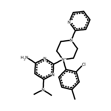 Cc1ccc([N+]2(c3nc(N)cc(N(C)C)n3)CCN(c3ccccn3)CC2)c(Cl)c1